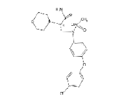 CS(=O)(=O)N(C[C@@H](C(N)=O)N1CCOCC1)c1ccc(Oc2ccc(Cl)cc2)cc1